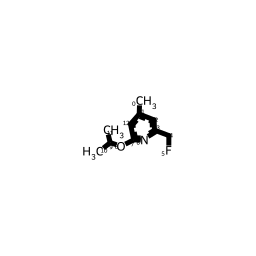 Cc1cc(CF)nc(OC(C)C)c1